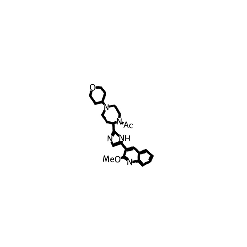 COc1nc2ccccc2cc1-c1cnc(C2CCN(C3CCOCC3)CCN2C(C)=O)[nH]1